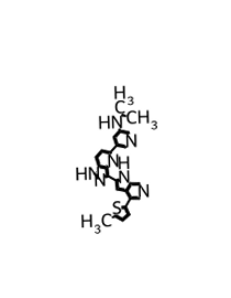 Cc1ccc(-c2cncc3[nH]c(-c4n[nH]c5ccc(-c6cncc(NC(C)C)c6)nc45)cc23)s1